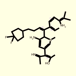 C/C=C(\C=C/C(N)=C(C)C)C(=C/CCC1CCC(F)(F)CC1)/C1C(N)=CC(/C(C(C)=N)=C(\C)O)=CN1C